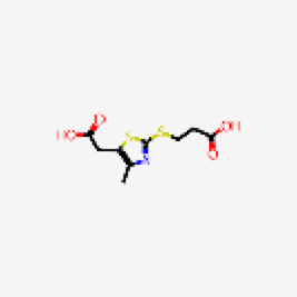 Cc1nc(SCCC(=O)O)sc1CC(=O)O